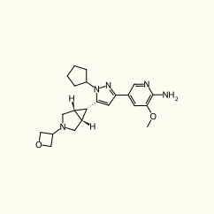 COc1cc(-c2cc([C@@H]3[C@@H]4CN(C5COC5)C[C@@H]43)n(C3CCCC3)n2)cnc1N